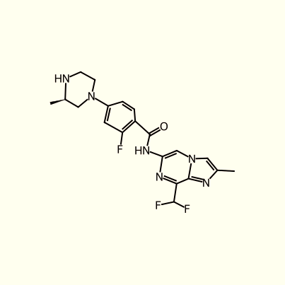 Cc1cn2cc(NC(=O)c3ccc(N4CCN[C@H](C)C4)cc3F)nc(C(F)F)c2n1